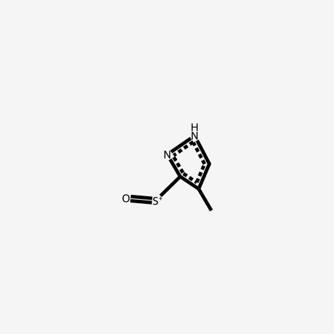 Cc1c[nH]nc1[S+]=O